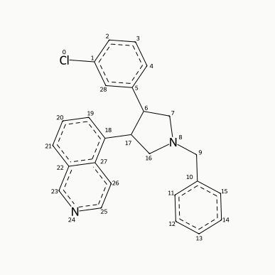 Clc1cccc(C2CN(Cc3ccccc3)CC2c2cccc3cnccc23)c1